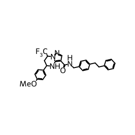 COc1ccc(C2CC(C(F)(F)F)n3ncc(C(=O)NCc4ccc(CCc5ccccc5)cc4)c3N2)cc1